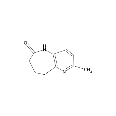 Cc1ccc2c(n1)CCCC(=O)N2